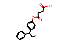 CCC(c1ccccc1)c1ccc(OC(=O)CCC(=O)O)cc1